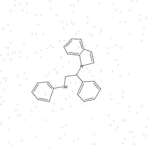 c1ccc([Se]CC(c2ccccc2)n2ccc3ccccc32)cc1